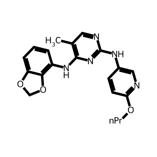 CCCOc1ccc(Nc2ncc(C)c(Nc3cccc4c3OCO4)n2)cn1